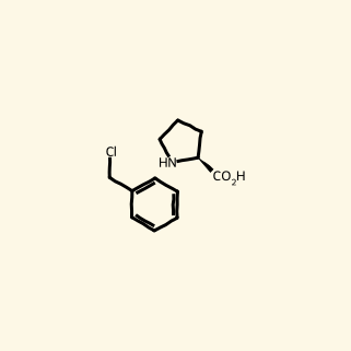 ClCc1ccccc1.O=C(O)[C@@H]1CCCN1